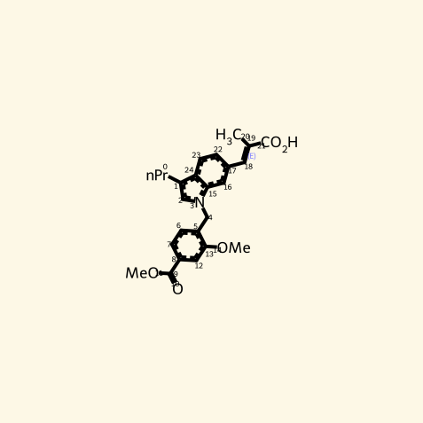 CCCc1cn(Cc2ccc(C(=O)OC)cc2OC)c2cc(/C=C(\C)C(=O)O)ccc12